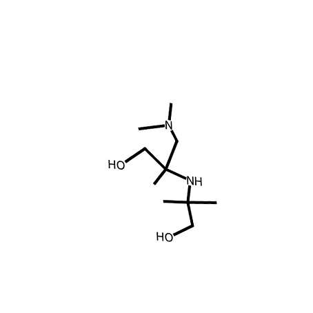 CN(C)CC(C)(CO)NC(C)(C)CO